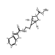 CC(C)(C)OC(=O)N1C[C@@H]2C(CCNC(=O)c3nc4ccncc4s3)[C@@H]2C1